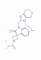 CCCCn1c(CN2C(=O)C3(CN(C(=O)C(F)F)C3)c3ccccc32)nc2c1CCCC2